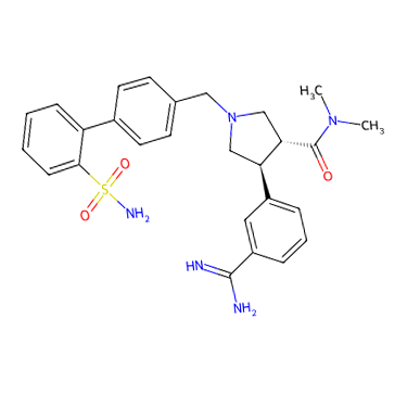 CN(C)C(=O)[C@H]1CN(Cc2ccc(-c3ccccc3S(N)(=O)=O)cc2)C[C@@H]1c1cccc(C(=N)N)c1